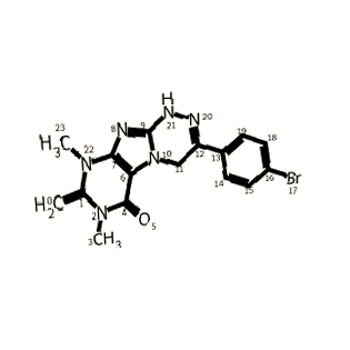 C=C1N(C)C(=O)c2c(nc3n2CC(c2ccc(Br)cc2)=NN3)N1C